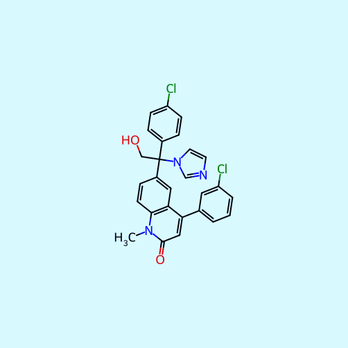 Cn1c(=O)cc(-c2cccc(Cl)c2)c2cc(C(CO)(c3ccc(Cl)cc3)n3ccnc3)ccc21